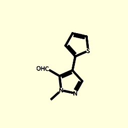 Cn1ncc(-c2cccs2)c1C=O